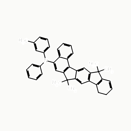 Cc1cccc(N(c2ccccc2)c2cc3c(c4ccccc24)-c2cc4c(cc2C3(C)C)C2=C(C=CCC2)C4(C)C)c1